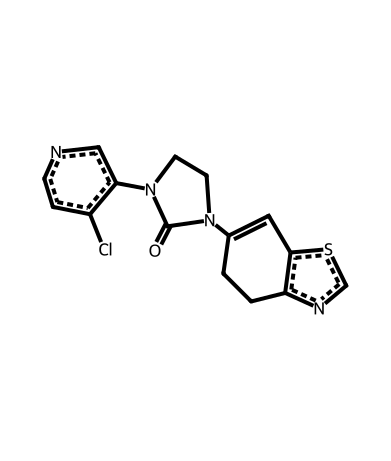 O=C1N(C2=Cc3scnc3CC2)CCN1c1cnccc1Cl